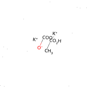 CC(=O)O.O=C([O-])[O-].[K+].[K+]